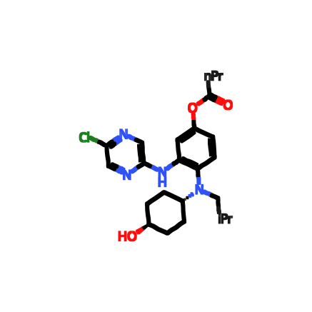 CCCC(=O)Oc1ccc(N(CC(C)C)[C@H]2CC[C@H](O)CC2)c(Nc2cnc(Cl)cn2)c1